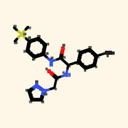 COc1ccc(C(NC(=O)Cn2cccn2)C(=O)Nc2ccc(S(C)(C)C)cc2)cc1